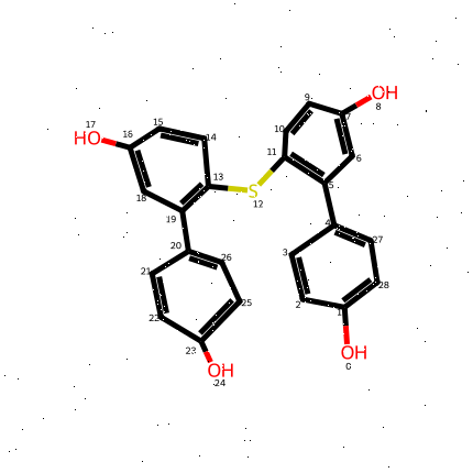 Oc1ccc(-c2cc(O)ccc2Sc2ccc(O)cc2-c2ccc(O)cc2)cc1